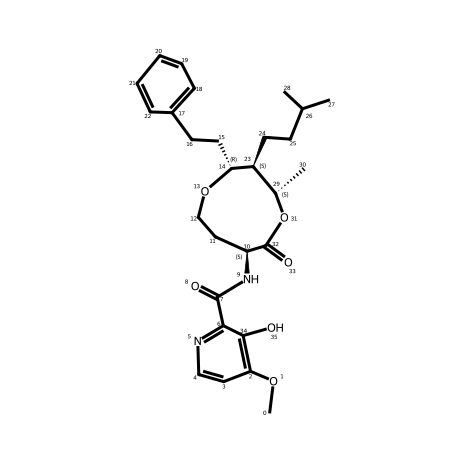 COc1ccnc(C(=O)N[C@H]2CCO[C@H](CCc3ccccc3)[C@@H](CCC(C)C)[C@H](C)OC2=O)c1O